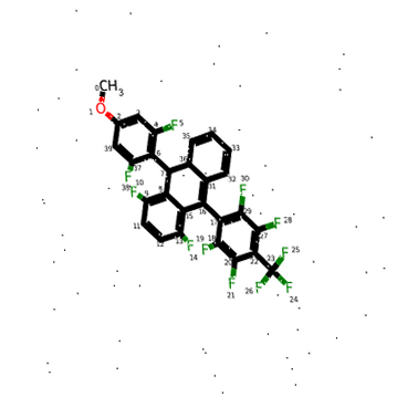 COc1cc(F)c(C2c3c(F)ccc(F)c3C(c3c(F)c(F)c(C(F)(F)F)c(F)c3F)=C3C=CC=CC32)c(F)c1